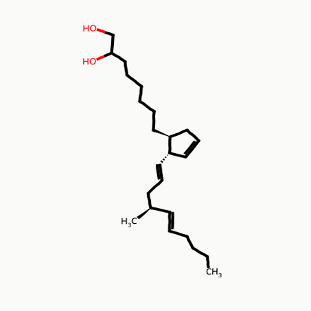 CCCCC=C[C@@H](C)CC=C[C@H]1C=CC[C@@H]1CCCCCCC(O)CO